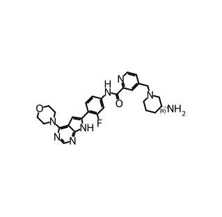 N[C@@H]1CCCN(Cc2ccnc(C(=O)Nc3ccc(-c4cc5c(N6CCOCC6)ncnc5[nH]4)c(F)c3)c2)C1